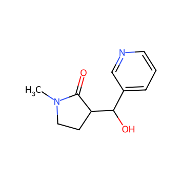 CN1CCC(C(O)c2cccnc2)C1=O